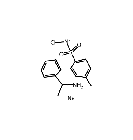 CC(N)c1ccccc1.Cc1ccc(S(=O)(=O)[N-]Cl)cc1.[Na+]